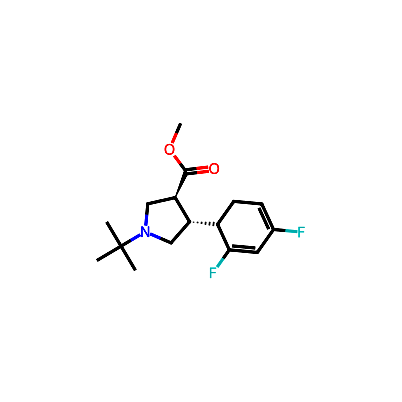 COC(=O)[C@@H]1CN(C(C)(C)C)C[C@H]1C1CC=C(F)C=C1F